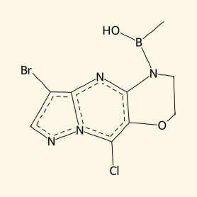 CB(O)N1CCOc2c1nc1c(Br)cnn1c2Cl